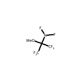 COC(N(F)F)(C(F)(F)F)C(F)(F)F